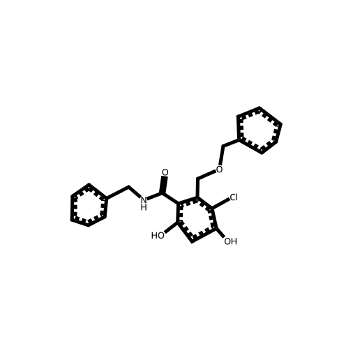 O=C(NCc1ccccc1)c1c(O)cc(O)c(Cl)c1COCc1ccccc1